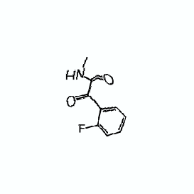 CNC(=O)C(=O)c1ccccc1F